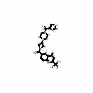 O=C(c1ccc2nc(C(F)(F)F)cc(Cl)c2c1)N1CC(N2CCN(C(=O)c3cscn3)CC2)C1